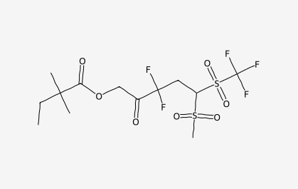 CCC(C)(C)C(=O)OCC(=O)C(F)(F)CC(S(C)(=O)=O)S(=O)(=O)C(F)(F)F